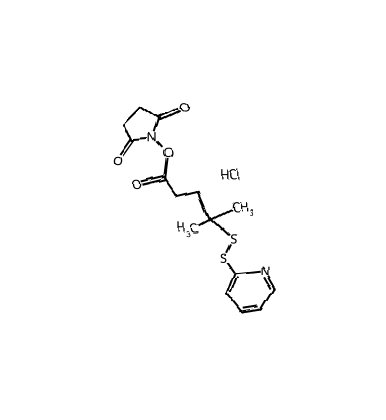 CC(C)(CCC(=O)ON1C(=O)CCC1=O)SSc1ccccn1.Cl